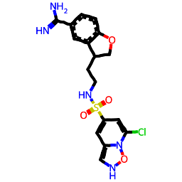 N=C(N)c1ccc2c(c1)C(CCNS(=O)(=O)C1=CC3=CNON3C(Cl)=C1)CO2